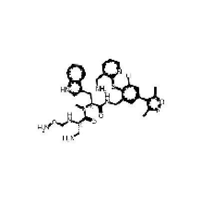 Cc1noc(C)c1-c1cc(Cl)c(Sc2ncccc2CN)c(CNC(=O)[C@H](Cc2c[nH]c3ccccc23)N(C)C(=O)[C@H](CN)NCON)c1